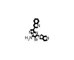 Nc1c(Br)c(N2Cc3ccncc3C2)nc2c(-c3cnc4ccccc4c3)cnn12